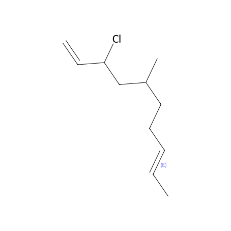 C=CC(Cl)CC(C)CC/C=C/C